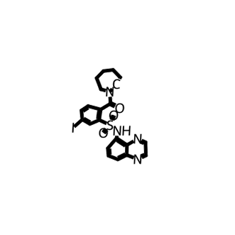 O=C(c1ccc(I)cc1S(=O)(=O)Nc1cccc2nccnc12)N1CCCCCC1